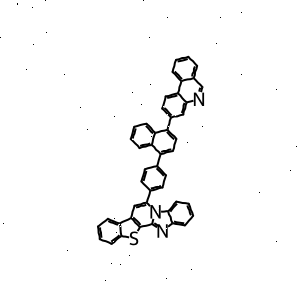 c1ccc2c(c1)cnc1cc(-c3ccc(-c4ccc(-c5cc6c7ccccc7sc6c6nc7ccccc7n56)cc4)c4ccccc34)ccc12